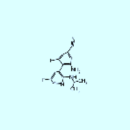 CC(C)Nc1ncc(F)cc1-c1c(N)cc(C#N)cc1F